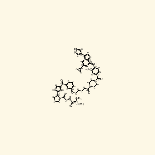 CN[C@@H](C)C(=O)NCC(=O)N1CCC[C@H]1c1nc(C(=O)c2cccc(OCCCCC(=O)N3CCN(C(=O)c4ccc(Nc5nc(C6CC6)cn6c(-c7cn[nH]c7)cnc56)c(F)c4)CC3)c2)cs1